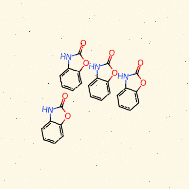 O=c1[nH]c2ccccc2o1.O=c1[nH]c2ccccc2o1.O=c1[nH]c2ccccc2o1.O=c1[nH]c2ccccc2o1